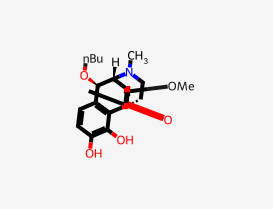 CCCCO[C@@H]1c2ccc(O)c(O)c2[C@@]23CCN(C)[C@@H]1C2C=C(OC)C(=O)C3